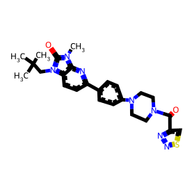 Cn1c(=O)n(CC(C)(C)C)c2ccc(-c3ccc(N4CCN(C(=O)c5csnn5)CC4)cc3)nc21